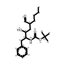 CCCCC(C=O)CC(O)C(Cc1ccccc1)NC(=O)OC(C)(C)C